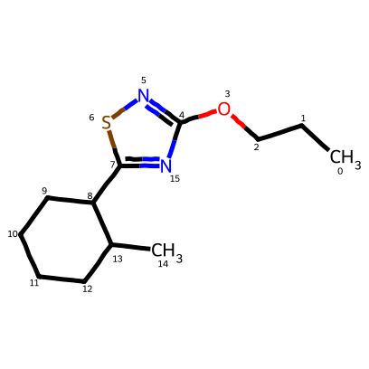 CCCOc1nsc(C2CCCCC2C)n1